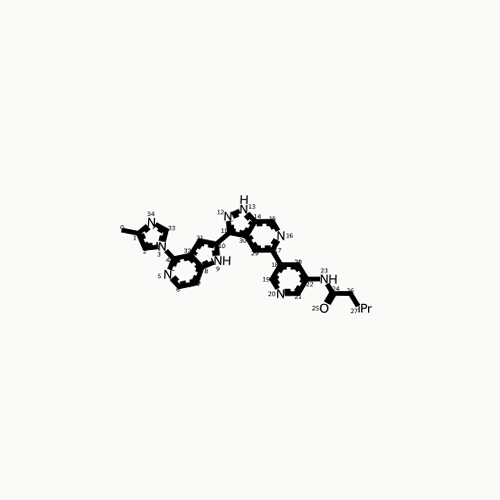 Cc1cn(-c2nccc3[nH]c(-c4n[nH]c5cnc(-c6cncc(NC(=O)CC(C)C)c6)cc45)cc23)cn1